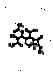 CO[C@@H]1C(=O)N2C(C(=O)O)=C(C(OC(C)=O)N(S)C(C)=O)CS[C@H]12